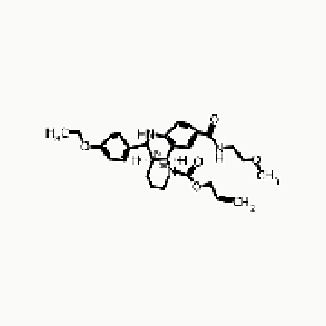 C=CCOC(=O)N1CCC[C@H]2C(c3ccc(OCC)cc3)Nc3ccc(C(=O)NCCOC)cc3[C@H]21